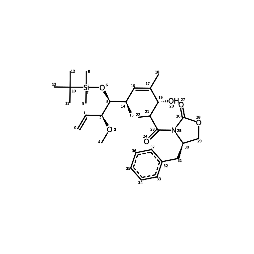 C=C[C@H](OC)[C@@H](O[Si](C)(C)C(C)(C)C)[C@H](C)/C=C(/C)[C@H](O)C(C)C(=O)N1C(=O)OC[C@H]1Cc1ccccc1